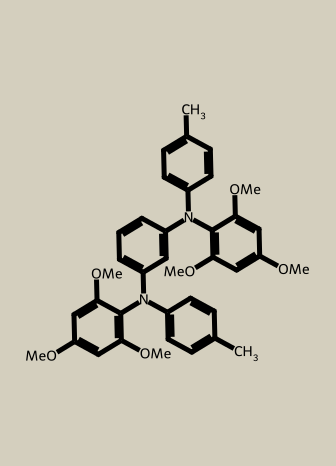 COc1cc(OC)c(N(c2ccc(C)cc2)c2cccc(N(c3ccc(C)cc3)c3c(OC)cc(OC)cc3OC)c2)c(OC)c1